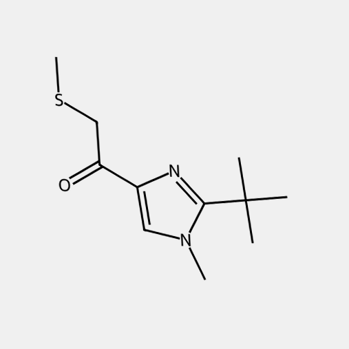 CSCC(=O)c1cn(C)c(C(C)(C)C)n1